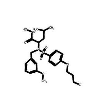 COc1cccc(CN(C(CC(C)C)C(=O)NO)S(=O)(=O)c2ccc(OCCCCl)cc2)c1